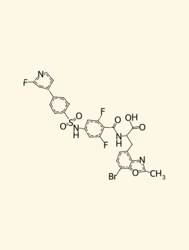 Cc1nc2c(CC(NC(=O)c3c(F)cc(NS(=O)(=O)c4ccc(-c5ccnc(F)c5)cc4)cc3F)C(=O)O)ccc(Br)c2o1